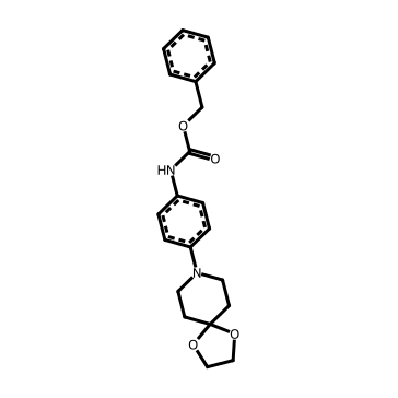 O=C(Nc1ccc(N2CCC3(CC2)OCCO3)cc1)OCc1ccccc1